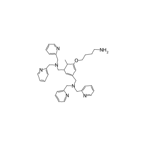 CC1C(OCCCCN)=CC(CN(Cc2ccccn2)Cc2ccccn2)=CC1CN(Cc1ccccn1)Cc1ccccn1